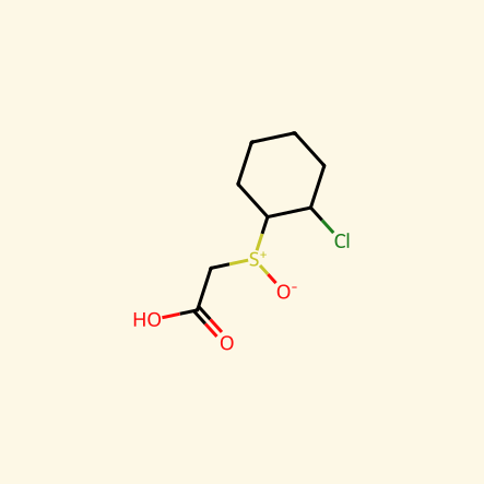 O=C(O)C[S+]([O-])C1CCCCC1Cl